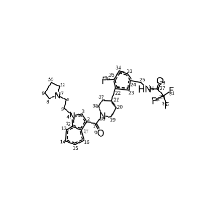 O=C(c1cn(CCN2CCCC2)c2ccccc12)N1CCC(c2cc(CNC(=O)C(F)(F)F)ccc2F)CC1